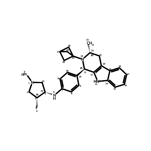 CCCN1C[C@@H](F)[C@@H](Nc2ccc([C@@H]3c4[nH]c5ccccc5c4C[C@@H](C)N3C34CC(C3)C4)cc2)C1